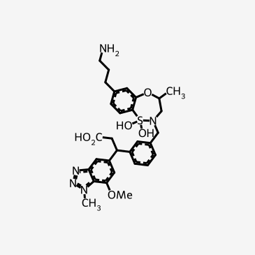 COc1cc(C(CC(=O)O)c2cccc(CN3CC(C)Oc4cc(CCCN)ccc4S3(O)O)c2)cc2nnn(C)c12